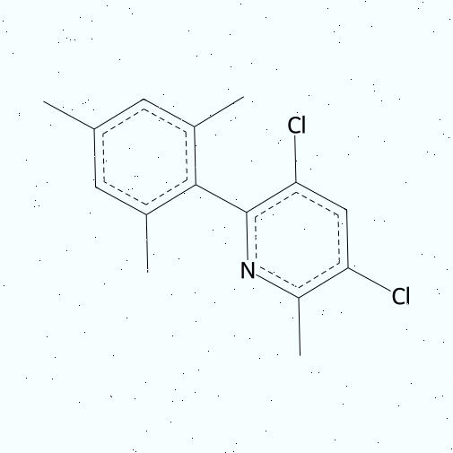 Cc1cc(C)c(-c2nc(C)c(Cl)cc2Cl)c(C)c1